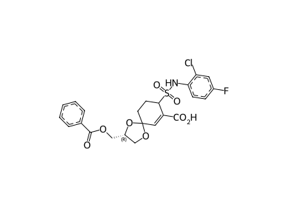 O=C(O)C1=CC2(CCC1S(=O)(=O)Nc1ccc(F)cc1Cl)OC[C@H](COC(=O)c1ccccc1)O2